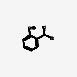 CCC(Cl)c1ccccc1C=O